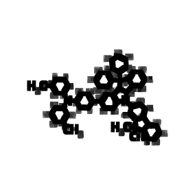 Cc1cccc(N(c2ccc(-c3ccc4c(c3)C3C(c5ccccc5C3(c3ccccc3)c3ccccc3)N4c3ccc4c(c3)C(C)(C)c3ccccc3-4)cc2)c2cccc(C)c2)c1